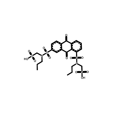 CCCN(CS(=O)(=O)O)S(=O)(=O)c1ccc2c(c1)C(=O)c1c(cccc1S(=O)(=O)N(CCC)CS(=O)(=O)O)C2=O